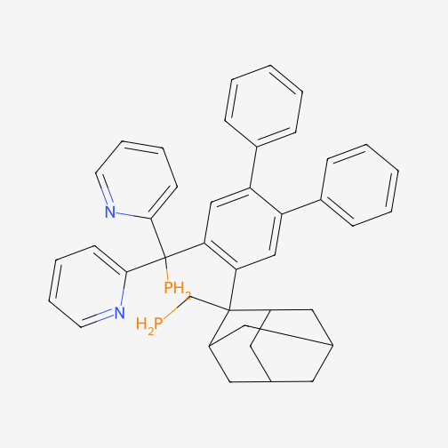 PCC1(c2cc(-c3ccccc3)c(-c3ccccc3)cc2C(P)(c2ccccn2)c2ccccn2)C2CC3CC(C2)CC1C3